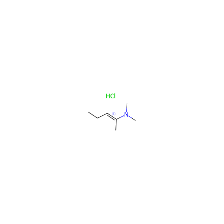 CC/C=C(\C)N(C)C.Cl